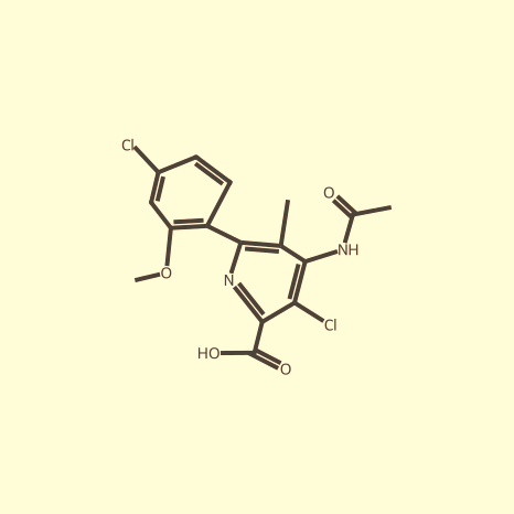 COc1cc(Cl)ccc1-c1nc(C(=O)O)c(Cl)c(NC(C)=O)c1C